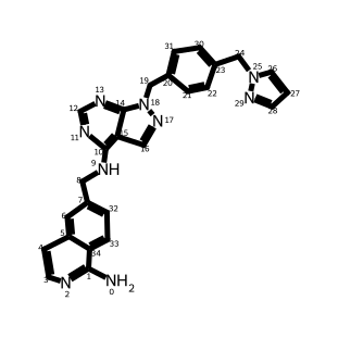 Nc1nccc2cc(CNc3ncnc4c3cnn4Cc3ccc(Cn4cccn4)cc3)ccc12